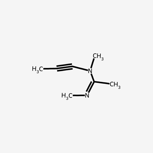 CC#CN(C)/C(C)=N\C